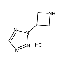 Cl.c1nnn(C2CNC2)n1